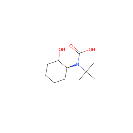 CC(C)(C)N(C(=O)O)[C@H]1CCCC[C@@H]1O